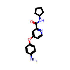 Nc1ccc(Oc2ccnc(C(=O)NC3CCCC3)c2)cc1